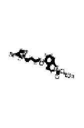 CC(C)(C)OC(=O)N1CCc2c(cccc2OCCCCn2cc(Br)cn2)C1